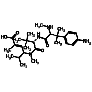 CNC(C(=O)N[C@H](C(=O)N(C)[C@H](/C=C(\C)C(=O)O)C(C)C)C(C)(C)C)C(C)(C)c1ccc(N)cc1